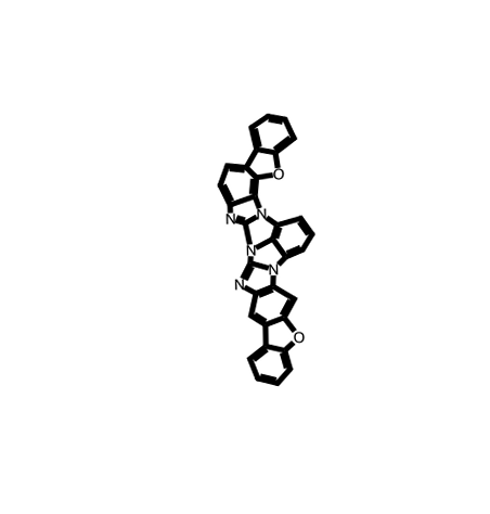 c1ccc2c(c1)oc1cc3c(cc12)nc1n3c2cccc3c2n1c1nc2ccc4c5ccccc5oc4c2n31